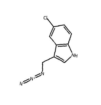 [N-]=[N+]=NCc1c[nH]c2ccc(Cl)cc12